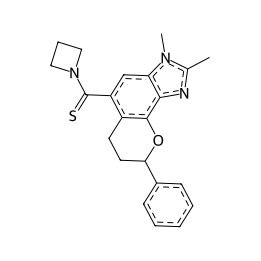 Cc1nc2c3c(c(C(=S)N4CCC4)cc2n1C)CCC(c1ccccc1)O3